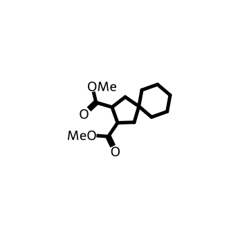 COC(=O)C1CC2(CCCCC2)CC1C(=O)OC